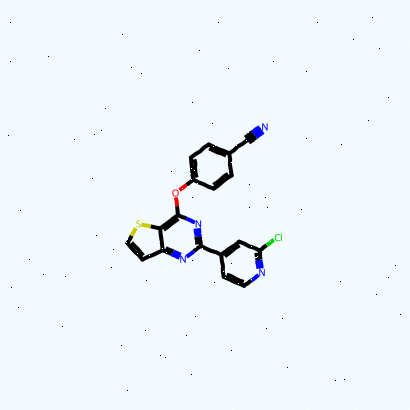 N#Cc1ccc(Oc2nc(-c3ccnc(Cl)c3)nc3ccsc23)cc1